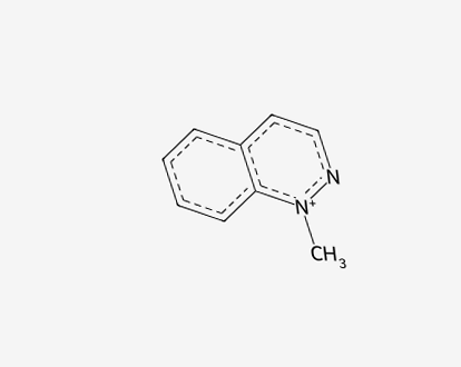 C[n+]1nccc2ccccc21